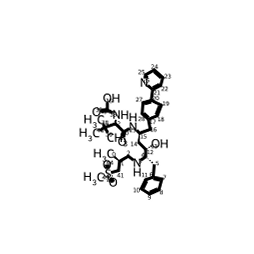 C[C@@H](CN[C@@H](Cc1ccccc1)[C@@H](O)C[C@H](Cc1ccc(-c2ccccn2)cc1)NC(=O)[C@@H](NC(=O)O)C(C)(C)C)CS(C)(=O)=O